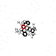 CC1(C)C2=C(CCC=C2)N(C2Nc3c(c4[nH]cnc4c4nc[nH]c34)N=C2N2c3ccccc3C(C)(C)c3ccccc32)c2ccccc21